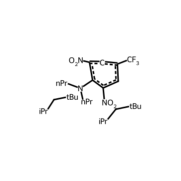 CC(C)CC(C)(C)C.CC(C)CC(C)(C)C.CCCN(CCC)c1c([N+](=O)[O-])cc(C(F)(F)F)cc1[N+](=O)[O-]